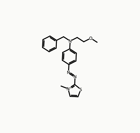 COCCN(Cc1ccccc1)c1ccc(/N=N/c2scc[n+]2C)cc1